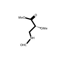 COC(=O)[C@@H](CNC=O)OC